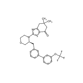 CC1(C)CC(=O)c2sc(N3CCOC[C@@H]3Cc3cccc(-c4cccc(OC(F)(F)F)c4)c3)nc2C1